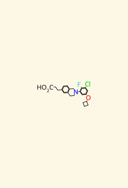 O=C(O)CCc1ccc2c(c1)CCN(c1cc(OC3CCC3)cc(Cl)c1F)C2